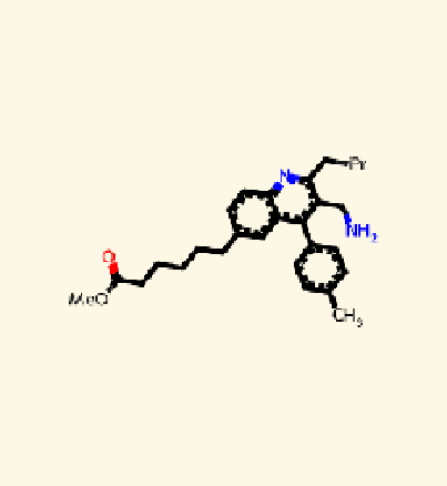 COC(=O)CCCCCc1ccc2nc(CC(C)C)c(CN)c(-c3ccc(C)cc3)c2c1